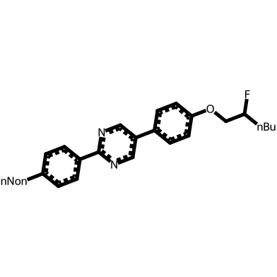 CCCCCCCCCc1ccc(-c2ncc(-c3ccc(OCC(F)CCCC)cc3)cn2)cc1